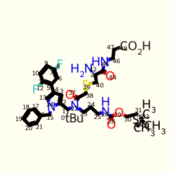 CC(C)(C)[C@H](c1cc(-c2cc(F)ccc2F)cn1Cc1ccccc1)N(CCCNC(=O)OCC[Si](C)(C)C)C(=O)CSC[C@H](N)C(=O)NCCC(=O)O